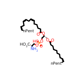 CCCCC/C=C\C/C=C\C/C=C\CCCCC(=O)O[C@H](COC(=O)CCCCCCC/C=C\CCCCC)COP(=O)(O)OC[C@H](N)C(=O)O